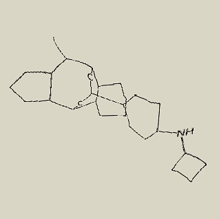 CC1C2CC(C3CCC(NC4CCC4)CC3)CC(C3CCCC13)C1CCCCC21